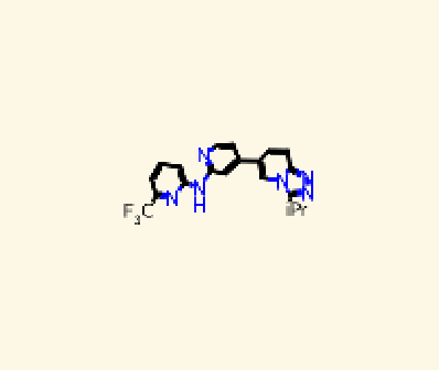 CC(C)c1nnc2ccc(-c3ccnc(Nc4cccc(C(F)(F)F)n4)c3)cn12